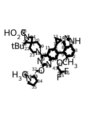 Cc1ccc2[nH]ncc2c1-c1c(C2CC2)cc2c(N3CCC4(CC3)CN(C(=O)O)C4C(C)(C)C)nc(OC[C@@H]3CCCN3C)nc2c1OCC(F)F